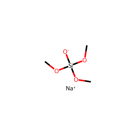 CO[Si]([O-])(OC)OC.[Na+]